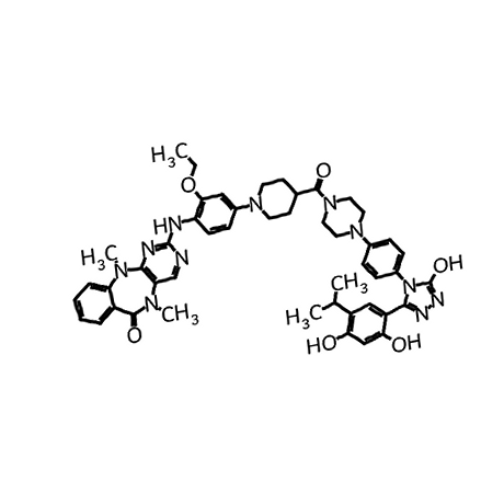 CCOc1cc(N2CCC(C(=O)N3CCN(c4ccc(-n5c(O)nnc5-c5cc(C(C)C)c(O)cc5O)cc4)CC3)CC2)ccc1Nc1ncc2c(n1)N(C)c1ccccc1C(=O)N2C